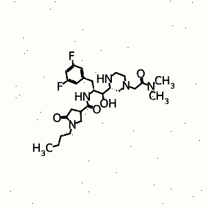 CCCCN1CC(C(=O)N[C@@H](Cc2cc(F)cc(F)c2)[C@H](O)[C@H]2CN(CC(=O)N(C)C)CCN2)CC1=O